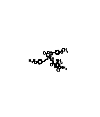 COc1ccc(CCC[N+](CCCc2ccc(OC)cc2)(CCNC(=O)c2nc(Cl)c(N)nc2N)CC(=O)O)cc1